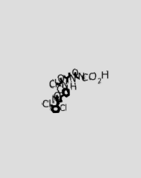 CC(CN(C(=O)C(Cl)Cl)c1cccc(-c2cc(-c3c(Cl)cccc3Cl)no2)c1)C(C)NC(=O)CN(C)C(=O)O